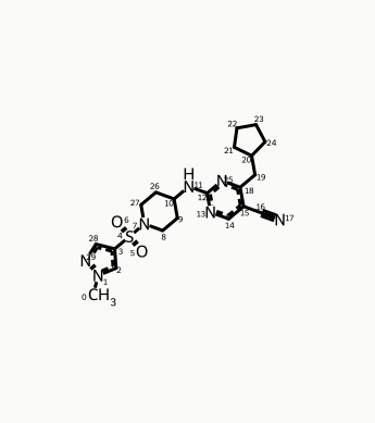 Cn1cc(S(=O)(=O)N2CCC(Nc3ncc(C#N)c(CC4CCCC4)n3)CC2)cn1